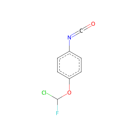 O=C=Nc1ccc(OC(F)Cl)cc1